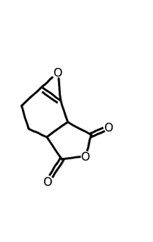 O=C1OC(=O)C2C3=C(CCC12)O3